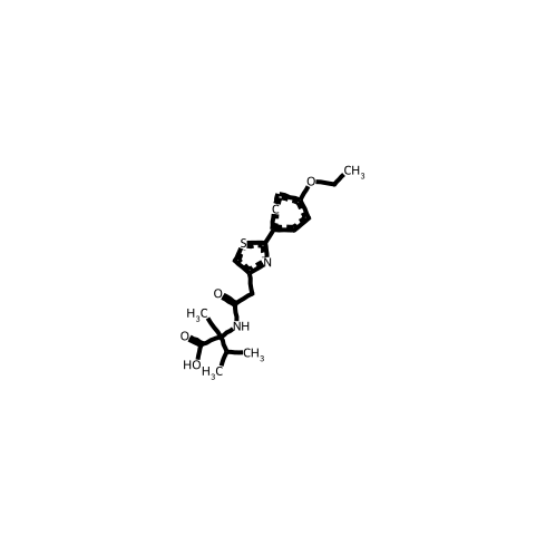 CCOc1ccc(-c2nc(CC(=O)NC(C)(C(=O)O)C(C)C)cs2)cc1